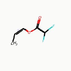 C/C=C\OC(=O)C(F)F